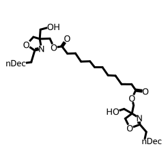 CCCCCCCCCCCC1=NC(CO)(COC(=O)CCCCCCCCCCC(=O)OCC2(CO)COC(CCCCCCCCCCC)=N2)CO1